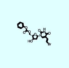 O=C(OC[C@@H]1O[C@H](n2cc(C=CBr)c(=O)[nH]c2=O)CC1O)Oc1ccccc1